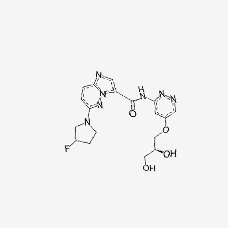 O=C(Nc1cc(OC[C@@H](O)CO)cnn1)c1cnc2ccc(N3CCC(F)C3)nn12